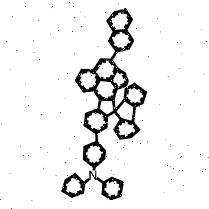 c1ccc(N(c2ccccc2)c2ccc(-c3ccc4c(c3)C3(c5ccccc5-c5ccccc53)c3c-4c4cccc5cc(-c6ccc7ccccc7c6)c6cccc3c6c54)cc2)cc1